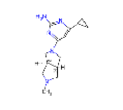 CN1C[C@@H]2CN(c3cc(C4CC4)nc(N)n3)C[C@@H]2C1